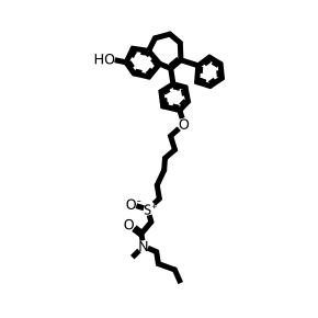 CCCCN(C)C(=O)C[S+]([O-])CCCCCCOc1ccc(C2=C(c3ccccc3)CCCc3cc(O)ccc32)cc1